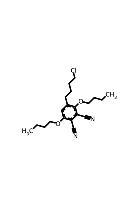 CCCCOc1cc(CCCCCl)c(OCCCC)c(C#N)c1C#N